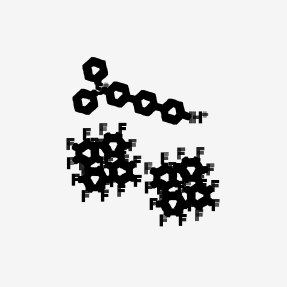 Fc1c(F)c(F)c([B-](c2c(F)c(F)c(F)c(F)c2F)(c2c(F)c(F)c(F)c(F)c2F)c2c(F)c(F)c(F)c(F)c2F)c(F)c1F.Fc1c(F)c(F)c([B-](c2c(F)c(F)c(F)c(F)c2F)(c2c(F)c(F)c(F)c(F)c2F)c2c(F)c(F)c(F)c(F)c2F)c(F)c1F.[IH+]c1ccc(-c2ccc(-c3ccc([S+](c4ccccc4)c4ccccc4)cc3)cc2)cc1